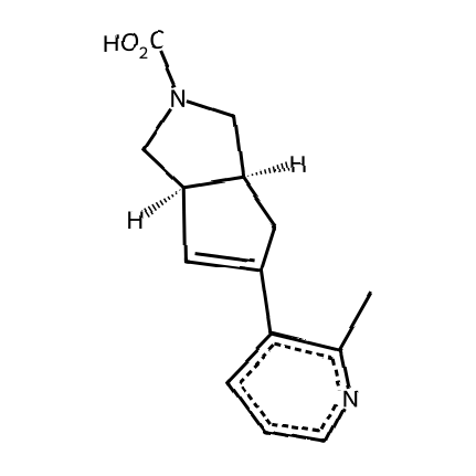 Cc1ncccc1C1=C[C@H]2CN(C(=O)O)C[C@H]2C1